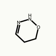 C1=NNOCC1